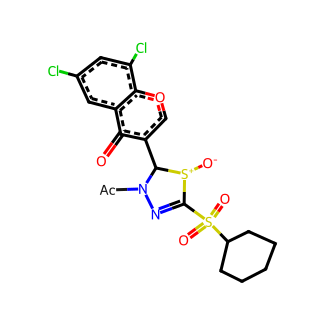 CC(=O)N1N=C(S(=O)(=O)C2CCCCC2)[S+]([O-])C1c1coc2c(Cl)cc(Cl)cc2c1=O